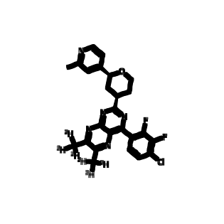 [2H]C([2H])([2H])c1nc2nc([C@@H]3CCO[C@H](c4ccnc(C)c4)C3)nc(-c3ccc(Cl)c(F)c3F)c2nc1C([2H])([2H])[2H]